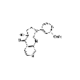 COc1cc(N2CCC3(O)C(=O)c4ccncc4N=C23)ccn1